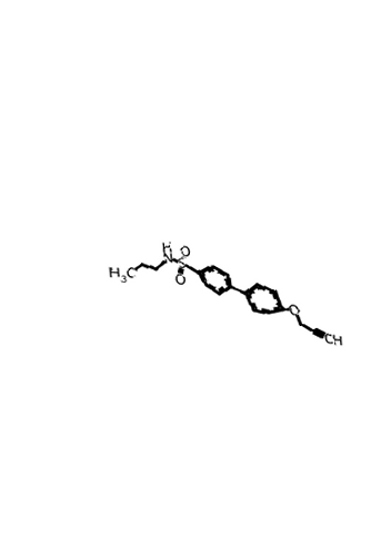 C#CCOc1ccc(-c2ccc(S(=O)(=O)NCCC)cc2)cc1